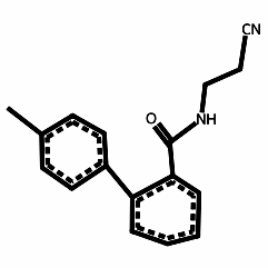 Cc1ccc(-c2ccccc2C(=O)NCCC#N)cc1